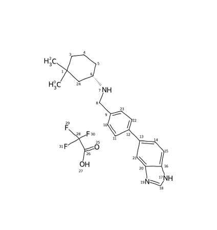 CC1(C)CCC[C@H](NCc2ccc(-c3ccc4[nH]cnc4c3)cc2)C1.O=C(O)C(F)(F)F